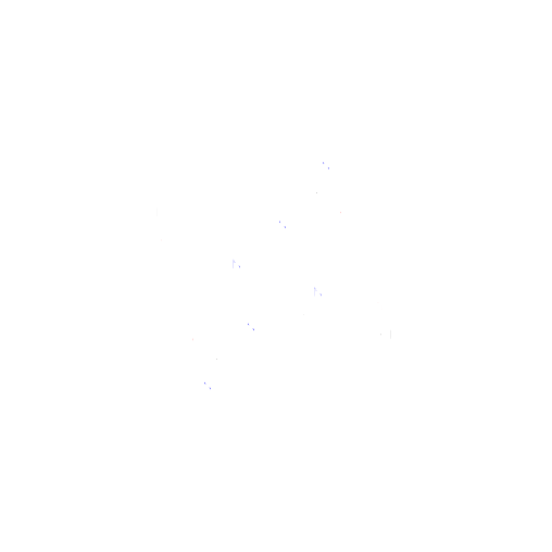 COc1cc2nc(c1)CN(CC(=O)N1CCCCC1)Cc1cc(OC)cc(n1)CN(CC(=O)N1CCCCC1)C2